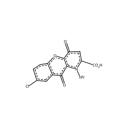 CCCn1c(C(=O)O)cc(=O)c2oc3ccc(Cl)cc3c(=O)c21